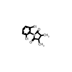 CCc1cccc(CC)c1N1C(=O)C(C)C(C)C1=O